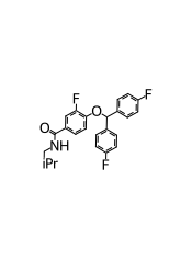 CC(C)CNC(=O)c1ccc(OC(c2ccc(F)cc2)c2ccc(F)cc2)c(F)c1